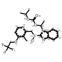 Cc1c(OCC(F)(F)F)ccnc1C[S+]([O-])c1nc2ccccc2n1C(C)OC(=O)OC(C)C